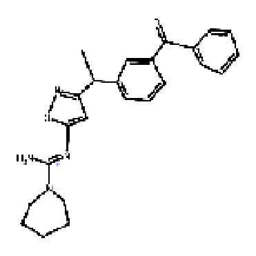 CC(c1cccc(C(=O)c2ccccc2)c1)c1cc(/N=C(\N)N2CCCCC2)on1